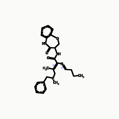 CCC/C=N/C(C(=O)NC1COc2ccccc2NC1=O)=C(/C)CP(C)Cc1ccccc1